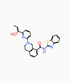 CC=C(O)c1cccc(N2CCc3cccc(C(=O)Nc4nc5ccccc5s4)c3C2)n1